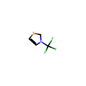 FC(F)(F)N1[C]SC=C1